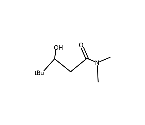 CN(C)C(=O)CC(O)C(C)(C)C